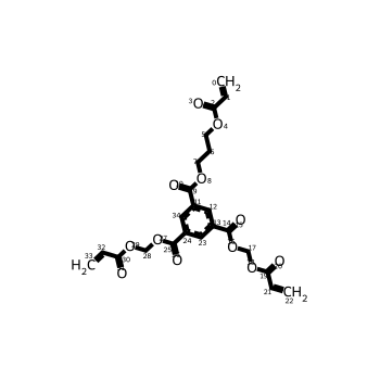 C=CC(=O)OCCCOC(=O)c1cc(C(=O)OCOC(=O)C=C)cc(C(=O)OCOC(=O)C=C)c1